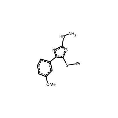 COc1cccc(-c2nc(NN)sc2SC(C)C)c1